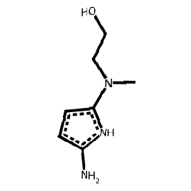 CN(CCO)c1ccc(N)[nH]1